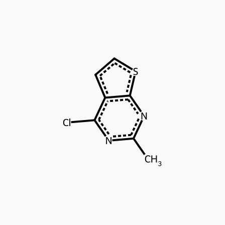 Cc1nc(Cl)c2ccsc2n1